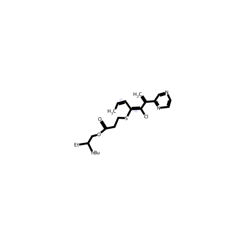 C=C(/C(Cl)=C(\C=C/C)SCCC(=O)OCC(CC)CCCC)c1cnccn1